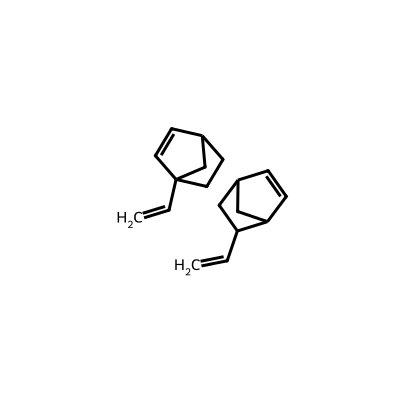 C=CC12C=CC(CC1)C2.C=CC1CC2C=CC1C2